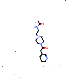 CC(=O)NCCN1CCN(C(=O)CC2=CCCN=C2)CC1